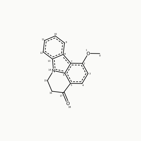 COc1ccc2c3c1c1ccccc1n3CCC2=O